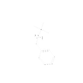 C[C](C)(C)[Mg][CH2]c1ccccc1